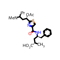 CNC(C[C@H](OC(C)=O)c1nc(C(=O)N[C@@H](Cc2ccccc2)C[C@H](C)C(=O)O)cs1)C(C)C